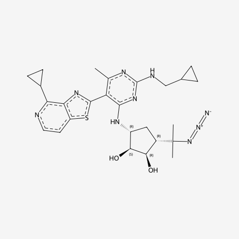 Cc1nc(NCC2CC2)nc(N[C@@H]2C[C@H](C(C)(C)N=[N+]=[N-])[C@@H](O)[C@H]2O)c1-c1nc2c(C3CC3)nccc2s1